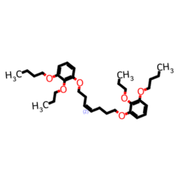 CCCCOc1cccc(OCC/C=C\CCCOc2cccc(OCCCC)c2OCCC)c1OCCC